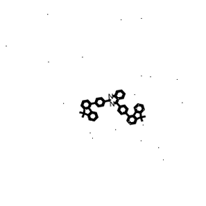 CC1(C)c2ccccc2-c2c(-c3ccc(-c4nc(-c5ccc(-c6cccc7c6-c6ccccc6C7(C)C)cc5)c5ccccc5n4)cc3)cccc21